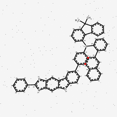 CC1(C)c2ccccc2-c2c(N(c3ccc(-c4ccc5oc6cc7nc(-c8ccccc8)oc7cc6c5c4)cc3)c3ccccc3-c3ccc4ccccc4c3)cccc21